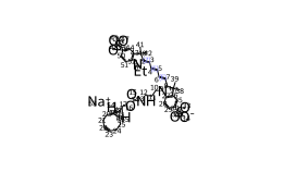 CCN1\C(=C/C=C/C=C/C2=[N+](CCCNC(=O)OC[C@@H]3[C@@H]4CCC#CCC[C@@H]43)c3ccc(S(=O)(=O)[O-])cc3C2(C)C)C(C)(C)c2cc(S(=O)(=O)[O-])ccc21.[Na+]